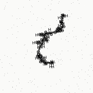 Cc1cc(OCCCC(=O)NCCNC(=O)[C@H](CSOOO)NC(=O)CC[C@H](NC(=O)OC(C)(C)C)C(=O)N[C@@H](CSOOO)C(=O)NCCNC(=O)CCCOc2cc(C)c(S(=O)(=O)N[C@@H](CNC(=O)c3ccc4c(cnn4CCCNc4ncc[nH]4)c3)C(=O)O)c(C)c2)cc(C)c1S(=O)(=O)N[C@@H](CNC(=O)c1ccc2c(cnn2CCCNc2ncc[nH]2)c1)C(=O)O